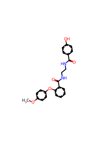 COc1ccc(Oc2ccccc2C(=O)NCCNC(=O)c2ccc(O)cc2)cc1